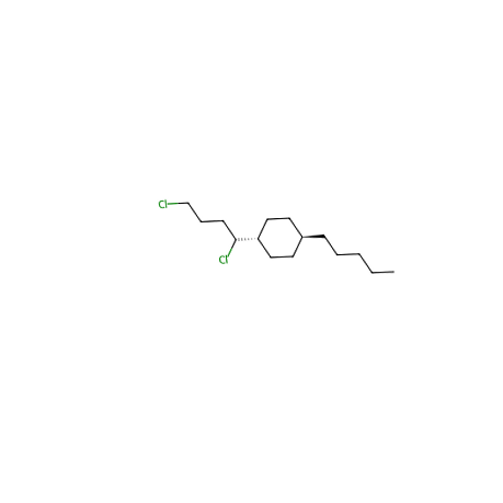 CCCCC[C@H]1CC[C@H](C(Cl)CCCCl)CC1